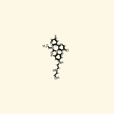 CCN1C(=O)N(c2c(F)cc(NCCNCCO)cc2F)c2cc(Cl)cnc2-c2cc(F)cnc21